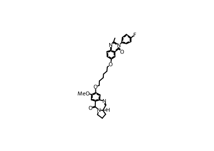 COc1cc2c(cc1OCCCCCCOc1ccc3nc(C)n(-c4ccc(F)cc4)c(=O)c3c1)N=C[C@@H]1CCCN1C2=O